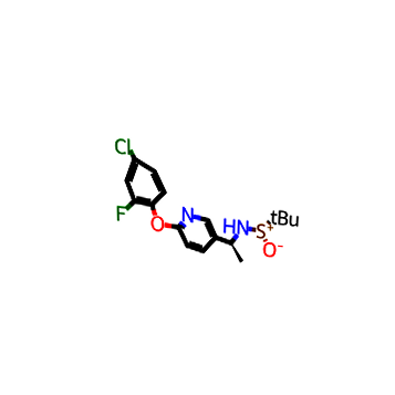 C[C@H](N[S+]([O-])C(C)(C)C)c1ccc(Oc2ccc(Cl)cc2F)nc1